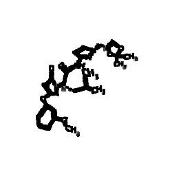 COc1cccc(OC2=CC(=O)N([C@@H](CC(C)C)C(=O)Nc3ccn(C[C@@H]4COC(C)(C)O4)n3)C2)c1